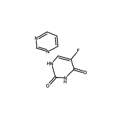 O=c1[nH]cc(F)c(=O)[nH]1.c1cncnc1